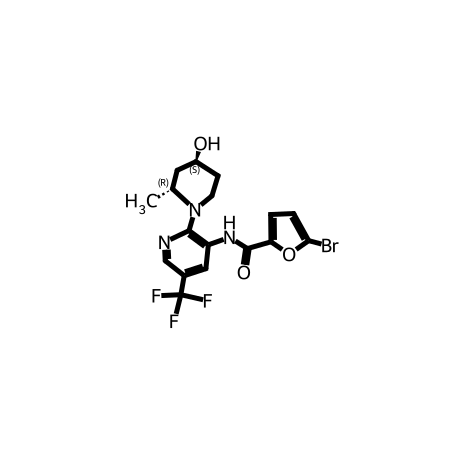 C[C@@H]1C[C@@H](O)CCN1c1ncc(C(F)(F)F)cc1NC(=O)c1ccc(Br)o1